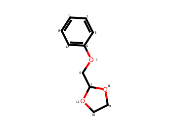 [c]1cccc(OCC2OCCO2)c1